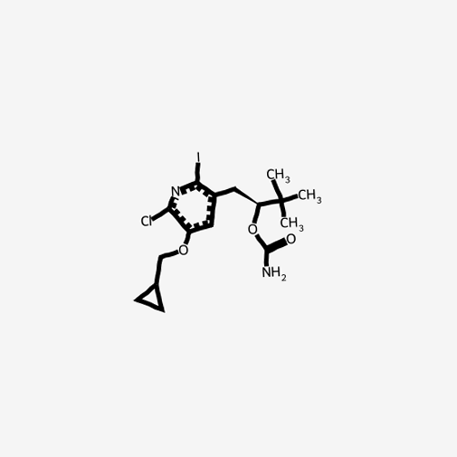 CC(C)(C)[C@H](Cc1cc(OCC2CC2)c(Cl)nc1I)OC(N)=O